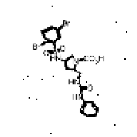 O=C(NC[C@H]1C[C@@H](NS(=O)(=O)c2cc(Br)ccc2Br)CN1C(=O)O)Nc1ccccc1